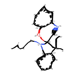 CCCCN1c2ccccc2C(C)(C)C12C=Nc1ccccc1O2